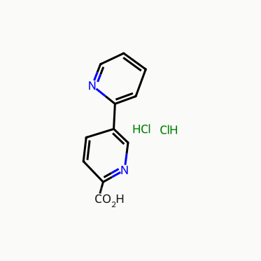 Cl.Cl.O=C(O)c1ccc(-c2ccccn2)cn1